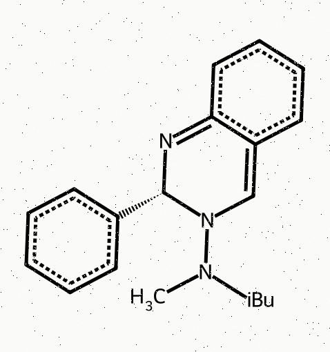 CCC(C)N(C)N1C=c2ccccc2=N[C@H]1c1ccccc1